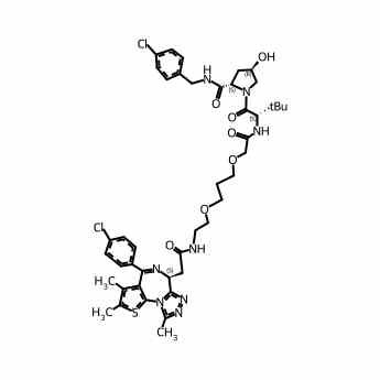 Cc1sc2c(c1C)C(c1ccc(Cl)cc1)=N[C@@H](CC(=O)NCCOCCCOCC(=O)N[C@H](C(=O)N1C[C@H](O)C[C@H]1C(=O)NCc1ccc(Cl)cc1)C(C)(C)C)c1nnc(C)n1-2